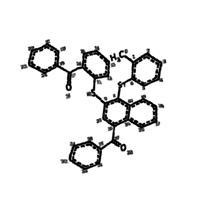 Cc1ccccc1Sc1c(Sc2ccccc2C(=O)c2ccccc2)cc(C(=O)c2ccccc2)c2ccccc12